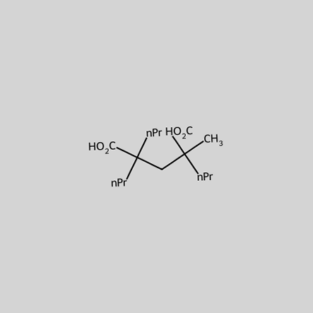 CCCC(C)(CC(CCC)(CCC)C(=O)O)C(=O)O